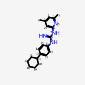 Cc1cc(C)nc(NC(=N)Nc2ccc(C3CCCCC3)cc2)c1